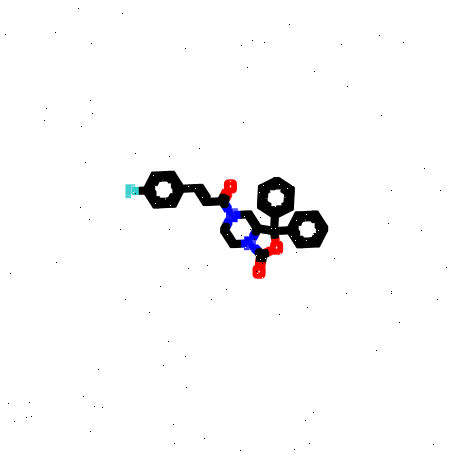 O=C(C=Cc1ccc(F)cc1)N1CCN2C(=O)OC(c3ccccc3)(c3ccccc3)C2C1